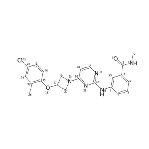 CNC(=O)c1cccc(Nc2nccc(N3CC(Oc4ccc(Cl)cc4C)C3)n2)c1